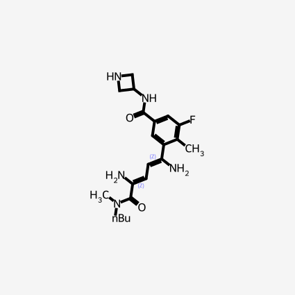 CCCCN(C)C(=O)/C(N)=C/C=C(\N)c1cc(C(=O)NC2CNC2)cc(F)c1C